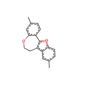 Cc1ccc2c(c1)OCCc1c-2oc2ccc(C)cc12